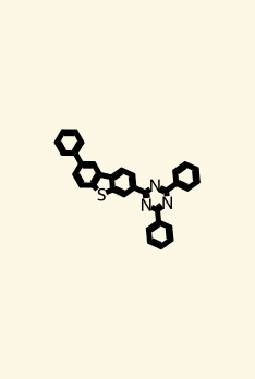 c1ccc(-c2ccc3sc4cc(-c5nc(-c6ccccc6)nc(-c6ccccc6)n5)ccc4c3c2)cc1